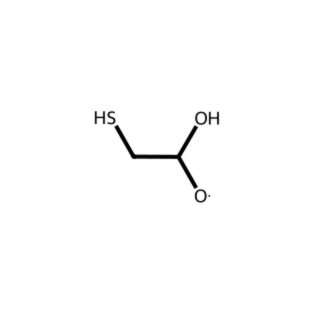 [O]C(O)CS